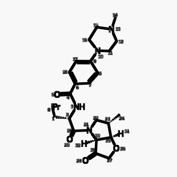 CC(C)C[C@H](NC(=O)c1ccc(N2CCN(C)CC2)cc1)C(=O)N1C[C@H](C)[C@H]2OCC(=O)[C@H]21